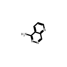 Nc1nncc2ncccc12